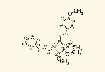 COc1ccc(CCc2[c]c(CCCc3ccccc3)c(OC)c(OC)c2OC)cc1